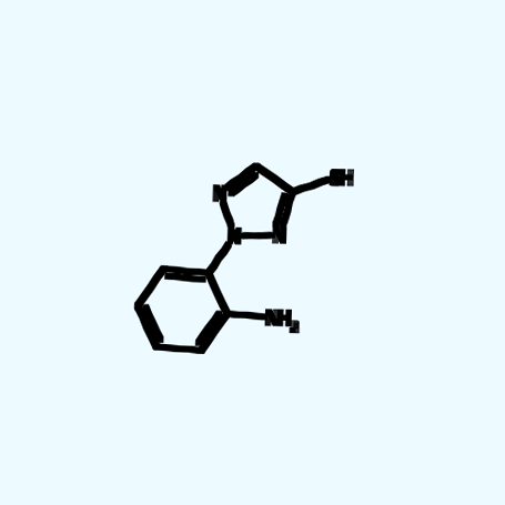 Nc1ccccc1-n1ncc(S)n1